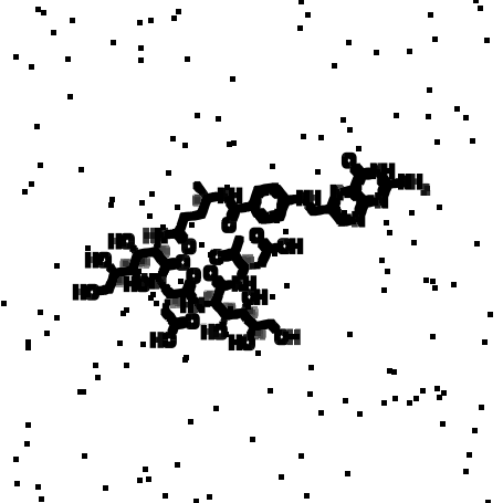 CC(=O)[C@H](CC(=O)O)NC(=O)[C@@H](NC(=O)[C@H](CC(=O)O)NC(=O)[C@@H](NC(=O)CC[C@@H](C)NC(=O)c1ccc(NCc2cnc3nc(N)[nH]c(=O)c3n2)cc1)[C@@H](O)[C@H](O)[C@H](O)CO)[C@@H](O)[C@H](O)[C@H](O)CO